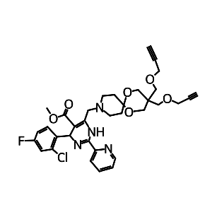 C#CCOCC1(COCC#C)COC2(CCN(CC3=C(C(=O)OC)C(c4ccc(F)cc4Cl)N=C(c4ccccn4)N3)CC2)OC1